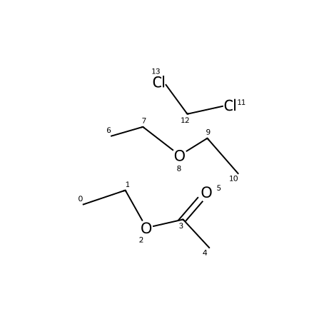 CCOC(C)=O.CCOCC.ClCCl